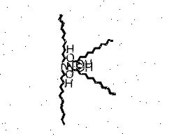 CCCCCCCCCCC(O)CN(CC(O)CCCCCCCCCC)N(CC(O)CCCCCCCCCC)CC(O)CCCCCCCCCC